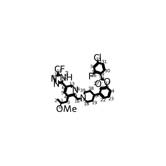 CO[C@@H](C)Cc1cc(-c2nnc(C(F)(F)F)[nH]2)cnc1CN1CCC(c2cccc3c2O[C@@H](c2ccc(Cl)cc2F)O3)CC1